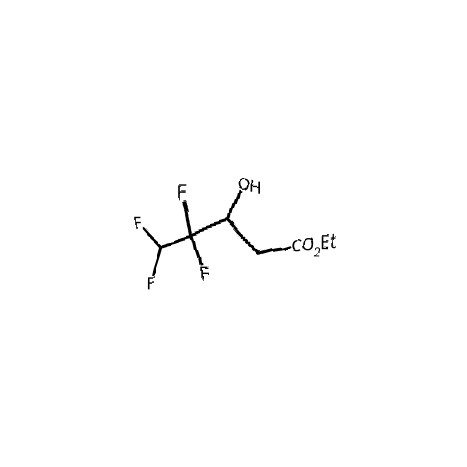 CCOC(=O)CC(O)C(F)(F)C(F)F